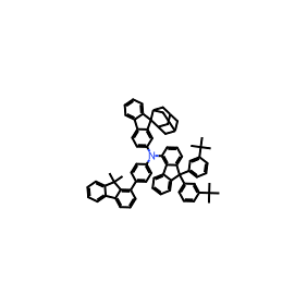 CC(C)(C)c1cccc(C2(c3cccc(C(C)(C)C)c3)c3ccccc3-c3c(N(c4ccc(-c5cccc6c5C(C)(C)c5ccccc5-6)cc4)c4ccc5c(c4)C4(c6ccccc6-5)C5CC6CC(C5)CC4C6)cccc32)c1